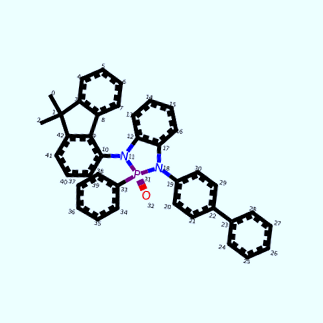 CC1(C)c2ccccc2-c2c(N3c4ccccc4N(c4ccc(-c5ccccc5)cc4)P3(=O)c3ccccc3)cccc21